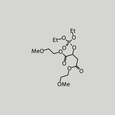 CCOP(=O)(OCC)OC(CC(=O)OCCOC)C(=O)OCCOC